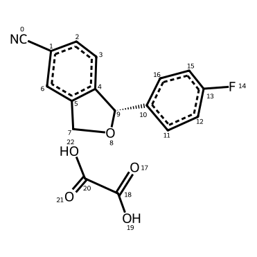 N#Cc1ccc2c(c1)CO[C@H]2c1ccc(F)cc1.O=C(O)C(=O)O